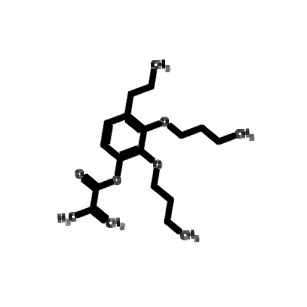 C=C(C)C(=O)Oc1ccc(CCC)c(OCCCC)c1OCCCC